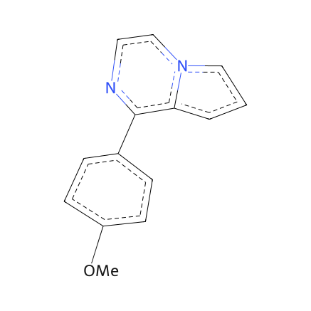 COc1ccc(-c2nccn3cccc23)cc1